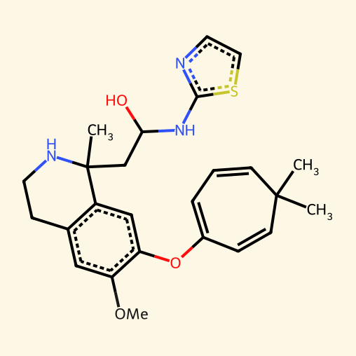 COc1cc2c(cc1OC1=CC=CC(C)(C)C=C1)C(C)(CC(O)Nc1nccs1)NCC2